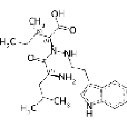 CC[C@H](C)[C@@H](C(=O)O)N(NCCc1c[nH]c2ccccc12)C(=O)[C@@H](N)CC(C)C